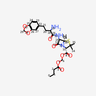 CCCC(=O)OCOC(=O)[C@@H]1N2C(=O)[C@@H](NC(=O)C(N)CCc3ccc4c(c3)OCO4)[C@H]2SC1(C)C